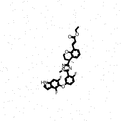 CCOC(=O)/C=C/c1cccc2c1OCC[C@]2(C)c1nc(-c2cc(Oc3c(F)cc4[nH]ccc4c3F)ccc2F)n(C)n1